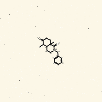 CC1C(=O)CCC2(C)C(=O)N(Cc3ccccc3)CCC12